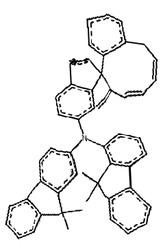 C=C1/C=C\C=C/Cc2ccccc2C12c1ccccc1-c1ccc(N(c3ccc4c(c3)C(C)(C)c3ccccc3-4)c3cccc4c3C(C)(C)c3ccccc3-4)cc12